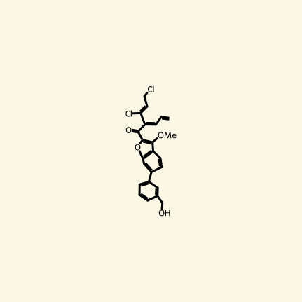 C=CC=C(C(=O)c1oc2cc(-c3cccc(CO)c3)ccc2c1OC)C(Cl)=CCCl